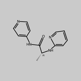 C[C@@H](Nc1ccccn1)C(=O)Nc1ccncc1